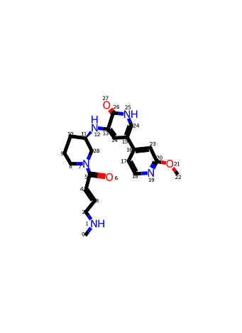 CNC/C=C/C(=O)N1CCC[C@@H](Nc2cc(-c3ccnc(OC)c3)c[nH]c2=O)C1